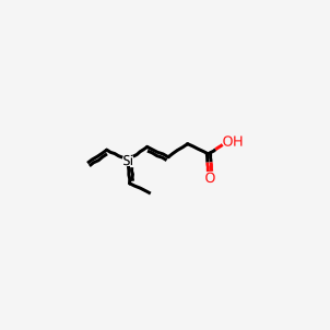 C=C[Si](C=CCC(=O)O)=CC